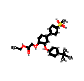 CCOC(=O)COc1ccc(-c2ccc(S(C)(=O)=O)cc2)cc1Oc1ccc(C(C)(C)C)cc1